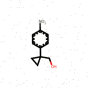 O=[N+]([O-])c1ccc(C2(CO)CC2)cc1